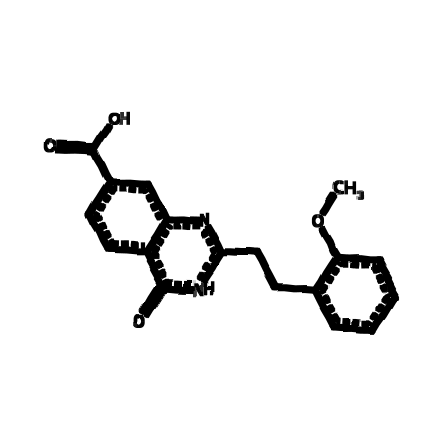 COc1ccccc1CCc1nc2cc(C(=O)O)ccc2c(=O)[nH]1